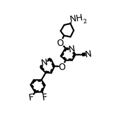 N#Cc1cc(Oc2cncc(-c3ccc(F)c(F)c3)c2)cc(OC2CCC(N)CC2)n1